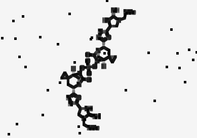 CNCN1CC(c2nnc([C@@H]3CC4(CC4)[C@@H]4CN3C(=O)N4OS(=O)(=O)ON3C(=O)N4C[C@H]3C3(CC3)C[C@H]4c3nnc(C4CN(CNC)C(=N)N4)o3)o2)NC1=N